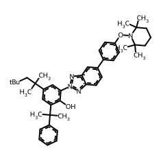 CC(C)(C)CC(C)(C)c1cc(-n2nc3ccc(-c4ccc(ON5C(C)(C)CCCC5(C)C)cc4)cc3n2)c(O)c(C(C)(C)c2ccccc2)c1